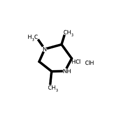 CC1CN(C)C(C)CN1.Cl.Cl